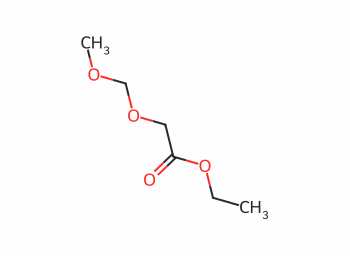 CCOC(=O)COCOC